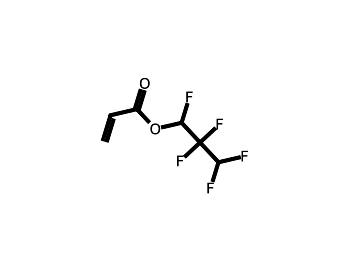 C=CC(=O)OC(F)C(F)(F)C(F)F